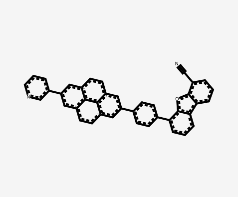 N#Cc1cccc2c1oc1c(-c3ccc(-c4cc5ccc6cc(-c7cccnc7)cc7ccc(c4)c5c67)cc3)cccc12